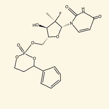 C[C@@]1(F)[C@H](O)[C@@H](COP2(=O)OCCC(c3ccccc3)O2)O[C@H]1n1ccc(=O)[nH]c1=O